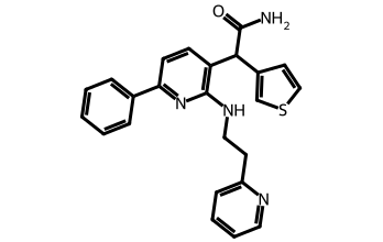 NC(=O)C(c1ccsc1)c1ccc(-c2ccccc2)nc1NCCc1ccccn1